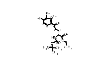 CCOC(=O)[C@@H](CCC(=O)c1ccc(F)c(F)c1F)NC(=O)OC(C)(C)C